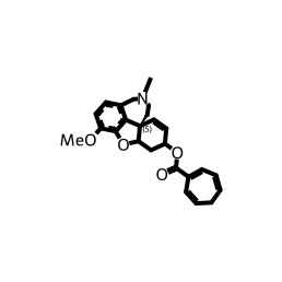 COc1ccc2c3c1OC1CC(OC(=O)C4=CC=CCC=C4)C=C[C@@]31CCN(C)C2